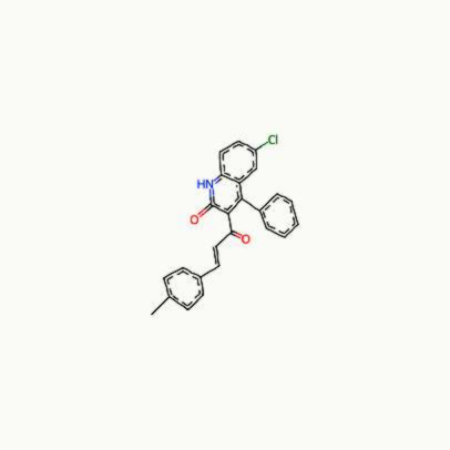 Cc1ccc(C=CC(=O)c2c(-c3ccccc3)c3cc(Cl)ccc3[nH]c2=O)cc1